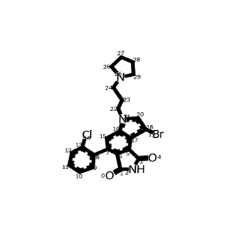 O=C1NC(=O)c2c1c(-c1ccccc1Cl)cc1c2c(Br)cn1CCCN1CCCC1